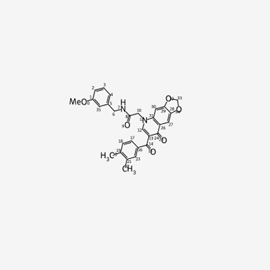 COc1cccc(CNC(=O)Cn2cc(C(=O)c3ccc(C)c(C)c3)c(=O)c3cc4c(cc32)OCO4)c1